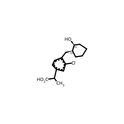 CC(C(=O)O)c1ccc(C[C@@H]2CCCC[C@@H]2O)c(Cl)c1